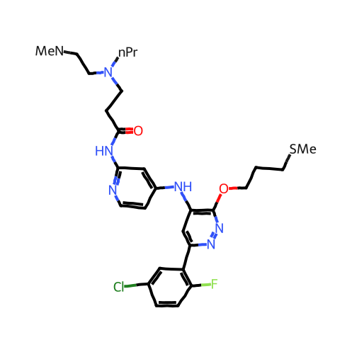 CCCN(CCNC)CCC(=O)Nc1cc(Nc2cc(-c3cc(Cl)ccc3F)nnc2OCCCSC)ccn1